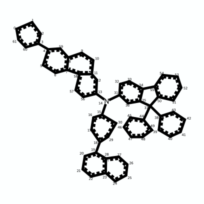 c1ccc(-c2ccc3c(ccc4cc(N(c5ccc(-c6cccc7ccccc67)cc5)c5ccc6c(c5)C(c5ccccc5)(c5ccccc5)c5ccccc5-6)ccc43)c2)cc1